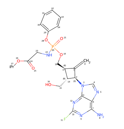 C=C1[C@@H](n2cnc3c(N)nc(F)nc32)[C@H](CO)[C@H]1COP(=O)(NCC(=O)OC(C)C)Oc1ccccc1